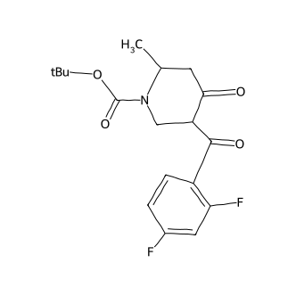 CC1CC(=O)C(C(=O)c2ccc(F)cc2F)CN1C(=O)OC(C)(C)C